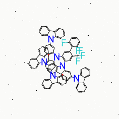 Fc1cccc(F)c1-c1cc(-n2c3cc(-n4c5ccccc5c5ccccc54)ccc3c3ccc(-n4c5ccccc5c5ccccc54)cc32)c(-n2c3cc(-n4c5ccccc5c5ccccc54)ccc3c3ccc(-n4c5ccccc5c5ccccc54)cc32)cc1C(F)(F)F